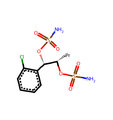 CC(C)[C@H](OS(N)(=O)=O)[C@@H](OS(N)(=O)=O)c1ccccc1Cl